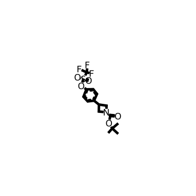 CC(C)(C)OC(=O)N1CC(c2ccc(OS(=O)(=O)C(F)(F)F)cc2)C1